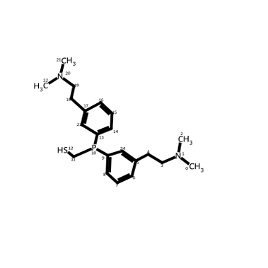 CN(C)CCc1cccc(P(CS)c2cccc(CCN(C)C)c2)c1